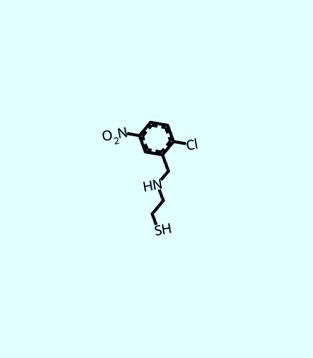 O=[N+]([O-])c1ccc(Cl)c(CNCCS)c1